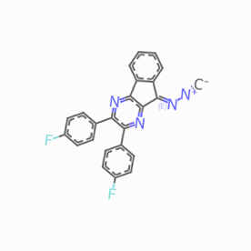 [C-]#[N+]/N=C1\c2ccccc2-c2nc(-c3ccc(F)cc3)c(-c3ccc(F)cc3)nc21